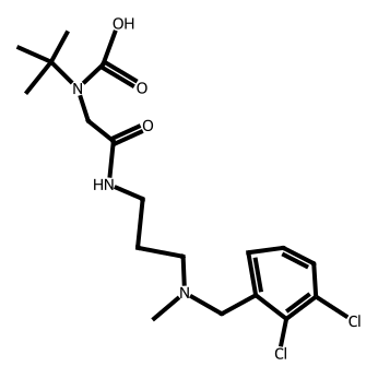 CN(CCCNC(=O)CN(C(=O)O)C(C)(C)C)Cc1cccc(Cl)c1Cl